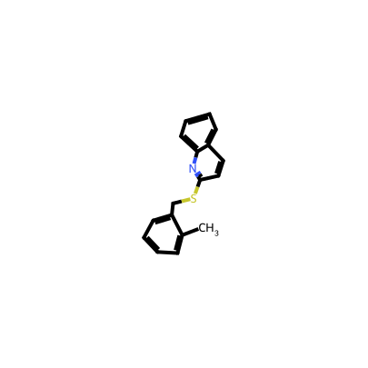 Cc1ccccc1CSc1ccc2ccccc2n1